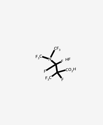 F.O=C(O)C(F)(C(F)(F)F)C(F)(F)N(C(F)(F)F)C(F)(F)F